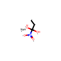 CCC(O)(O)[N+](=O)[O-].[NaH]